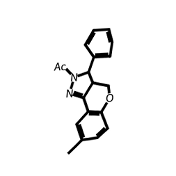 CC(=O)N1N=C2c3cc(C)ccc3OCC2C1c1ccccc1